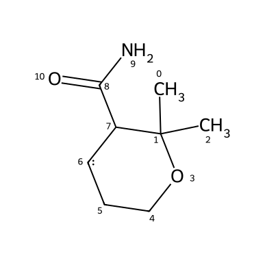 CC1(C)OCC[C]C1C(N)=O